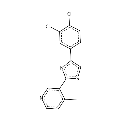 Cc1ccncc1-c1nc(-c2ccc(Cl)c(Cl)c2)cs1